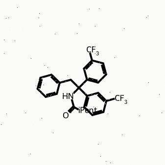 CCCC(C)C(=O)NC(Cc1ccccc1)(c1cccc(C(F)(F)F)c1)c1cccc(C(F)(F)F)c1